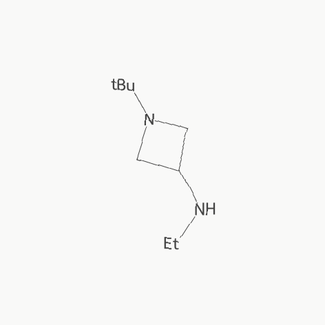 CCNC1CN(C(C)(C)C)C1